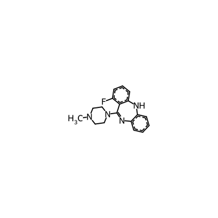 CN1CCN(C2=Nc3ccccc3Nc3cccc(F)c32)CC1